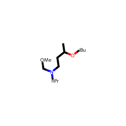 CCCN(CCC(C)OC(C)CC)COC